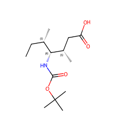 CC[C@H](C)[C@@H](NC(=O)OC(C)(C)C)[C@@H](C)CC(=O)O